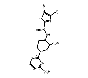 CCc1[nH]c(C(=O)N[C@@H]2CCN(c3nccc(C(=O)O)n3)C[C@@H]2OC)nc1Cl